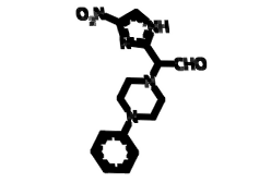 O=CC(c1nc([N+](=O)[O-])c[nH]1)N1CCN(c2ccccc2)CC1